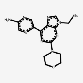 CC(C)(C)Cn1cnc2c(-c3cnc(N)cn3)nc(N3CCOCC3)nc21